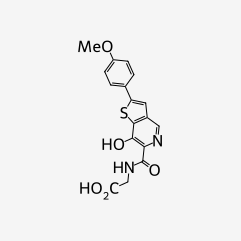 COc1ccc(-c2cc3cnc(C(=O)NCC(=O)O)c(O)c3s2)cc1